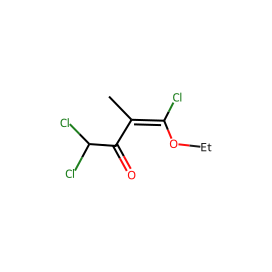 CCOC(Cl)=C(C)C(=O)C(Cl)Cl